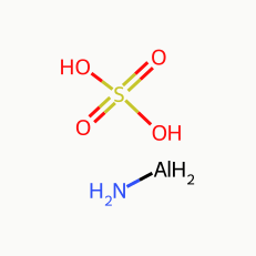 O=S(=O)(O)O.[NH2][AlH2]